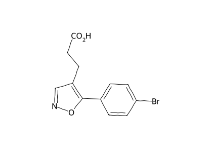 O=C(O)CCc1cnoc1-c1ccc(Br)cc1